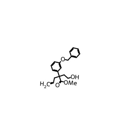 C=CCC(CCO)(C(=O)OC)c1cccc(OCc2ccccc2)c1